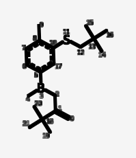 C=C(CB(C)c1ccc(C)c(SCC(C)(C)C)c1)C(C)(C)C